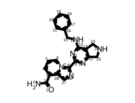 NC(=O)c1cccn2c(-c3nc4c(c(NCc5ccccc5)n3)CNC4)ncc12